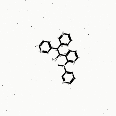 CN(c1cccnc1)c1ncccc1C(O)C(c1cccnc1)c1cccnc1